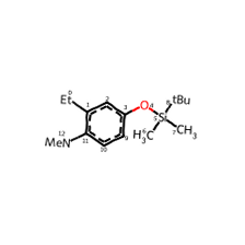 CCc1cc(O[Si](C)(C)C(C)(C)C)ccc1NC